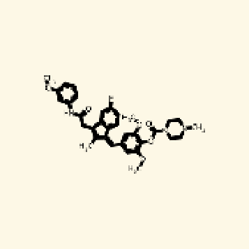 COc1cccc(NC(=O)CC2=C(C)/C(=C/c3cc(OC)c(OC(=O)N4CCN(C)CC4)c(OC)c3)c3ccc(F)cc32)c1